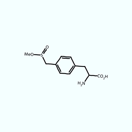 COS(=O)Cc1ccc(CC(N)C(=O)O)cc1